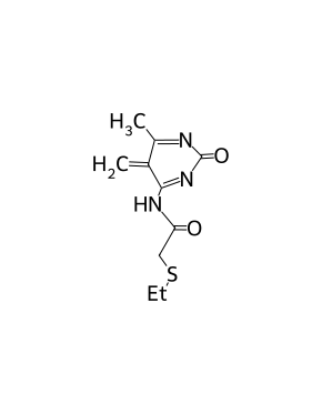 C=C1C(C)=NC(=O)N=C1NC(=O)CSCC